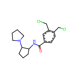 O=C(NC1CCCC1N1CCCC1)c1ccc(CCl)c(CCl)c1